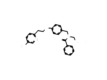 CCc1ccc(CCOc2ccc(CN(CC(=O)O)C(=O)c3ccccc3)cc2)nc1